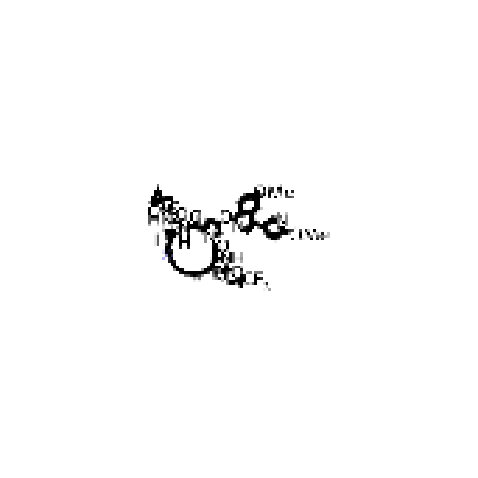 CC[C@@H]1C[C@H](C)CC/C=C\[C@@H]2C[C@@]2(C(=O)NS(=O)(=O)C2(C)CC2)NC(=O)[C@@H]2C[C@@H](Oc3ncc(-c4ccc(OC)nc4)c4cc(OC)ccc34)CN2C(=O)[C@H]1NC(=O)OC(C)(C)C(F)(F)F